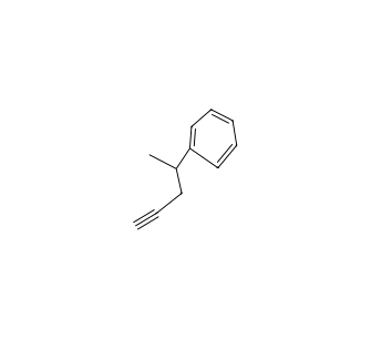 C#CCC(C)c1ccccc1